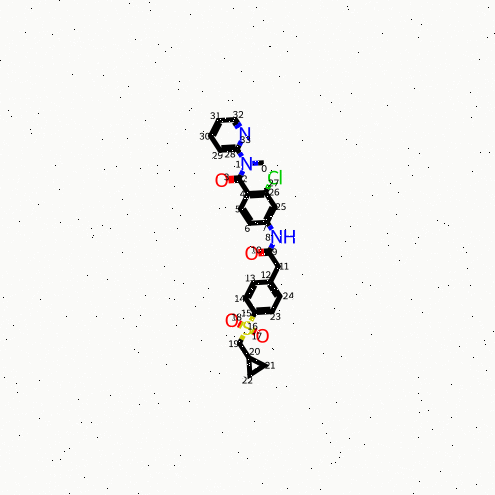 CN(C(=O)c1ccc(NC(=O)Cc2ccc(S(=O)(=O)CC3CC3)cc2)cc1Cl)c1ccccn1